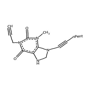 C#CCn1c(=O)c2c(n(C)c1=O)N(C#CCCCCC)CN2